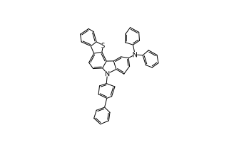 c1ccc(-c2ccc(-n3c4ccc(N(c5ccccc5)c5ccccc5)cc4c4c5sc6ccccc6c5ccc43)cc2)cc1